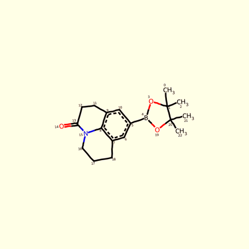 CC1(C)OB(c2cc3c4c(c2)CCC(=O)N4CCC3)OC1(C)C